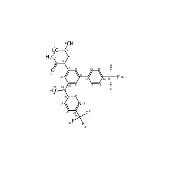 CC(=O)C(CC(C)C)c1cc(-c2ccc(C(F)(F)F)cc2)cc(N(C)c2ccc(C(F)(F)F)nc2)c1